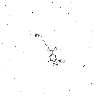 Cc1cc(C(=O)OCCCCCC(C)C)cc(C(C)(C)C)c1O